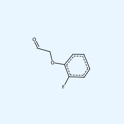 O=[C]COc1ccccc1F